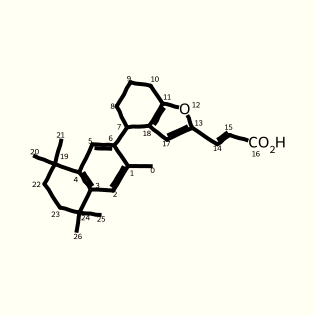 Cc1cc2c(cc1C1CCCc3oc(/C=C/C(=O)O)cc31)C(C)(C)CCC2(C)C